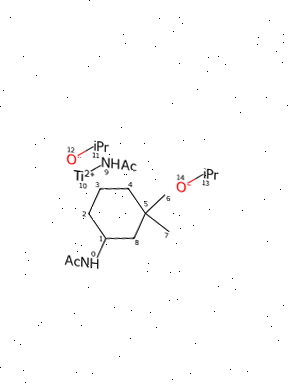 CC(=O)NC1CCCC(C)(C)C1.CC(=O)[NH][Ti+2].CC(C)[O-].CC(C)[O-]